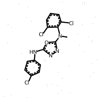 CN(c1nnc(Nc2ccc(Cl)cc2)o1)c1c(Cl)cccc1Cl